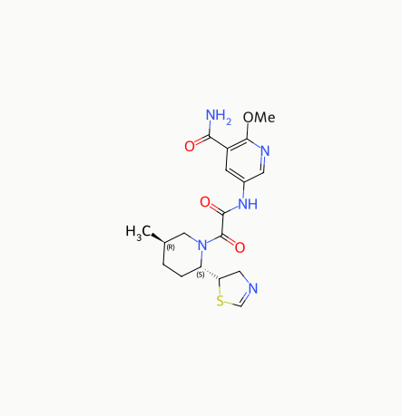 COc1ncc(NC(=O)C(=O)N2C[C@H](C)CC[C@H]2C2CN=CS2)cc1C(N)=O